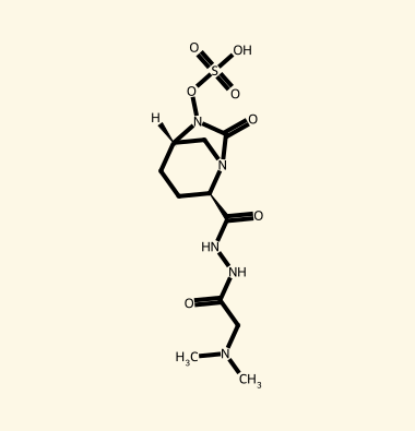 CN(C)CC(=O)NNC(=O)[C@H]1CC[C@H]2CN1C(=O)N2OS(=O)(=O)O